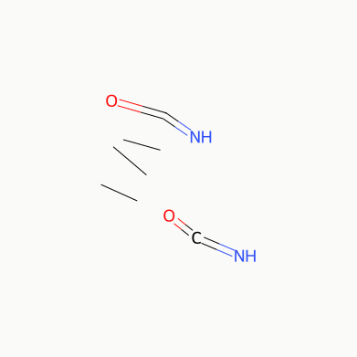 CC.CC.CC.N=C=O.N=C=O